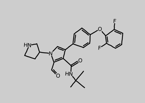 CC(C)(C)NC(=O)c1c(-c2ccc(Oc3c(F)cccc3F)cc2)cn(C2CCNC2)c1C=O